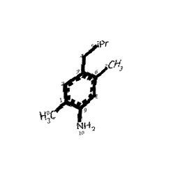 Cc1cc(CC(C)C)c(C)cc1N